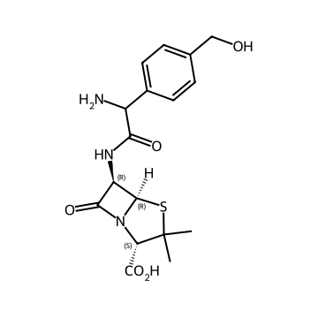 CC1(C)S[C@@H]2[C@H](NC(=O)C(N)c3ccc(CO)cc3)C(=O)N2[C@H]1C(=O)O